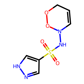 O=S(=O)(NN1C=CCOO1)c1cn[nH]c1